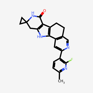 Cc1ccc(-c2cc3c(cn2)CCc2c-3[nH]c3c2C(=O)NC2(CC2)C3)c(F)n1